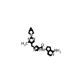 Cc1nc(N2CC3CC3C2)ncc1Cn1cc(C(=O)N[C@@H]2CCc3c2ccnc3N)cn1